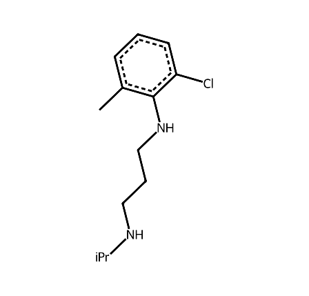 Cc1cccc(Cl)c1NCCCNC(C)C